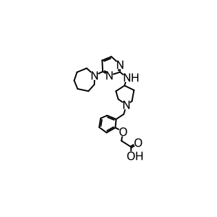 O=C(O)COc1ccccc1CN1CCC(Nc2nccc(N3CCCCCC3)n2)CC1